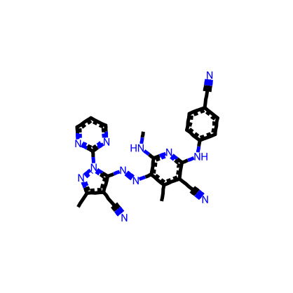 CNc1nc(Nc2ccc(C#N)cc2)c(C#N)c(C)c1/N=N/c1c(C#N)c(C)nn1-c1ncccn1